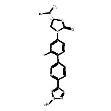 CCCn1nnc(-c2ccc(-c3ccc(N4C[C@H](C(O)C(F)(F)F)OC4=O)cc3F)cn2)n1